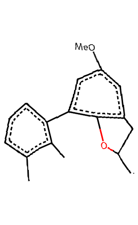 [CH2]C1Cc2cc(OC)cc(-c3cccc(C)c3C)c2O1